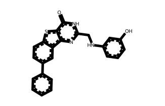 O=c1[nH]c(CNc2cccc(O)c2)nc2c1sc1ccc(-c3ccccc3)cc12